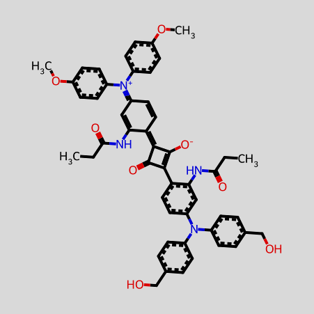 CCC(=O)NC1=CC(=[N+](c2ccc(OC)cc2)c2ccc(OC)cc2)C=C/C1=C1/C(=O)C(c2ccc(N(c3ccc(CO)cc3)c3ccc(CO)cc3)cc2NC(=O)CC)=C1[O-]